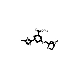 COC(=O)c1cc(OCC23CC(CO2)N(C)C3)cc(-c2ncc(C)s2)c1